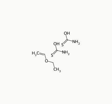 C=COCC.NC(O)=S.NC(O)=S